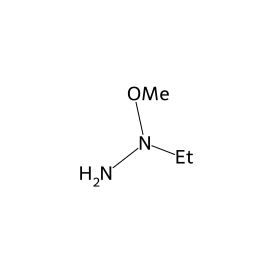 CCN(N)OC